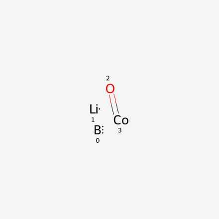 [B].[Li].[O]=[Co]